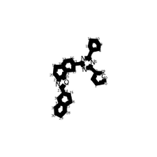 c1ccc(-c2nc(-c3ccccc3)nc(-c3ccc4ccc5nc(-c6ccc7ccccc7c6)oc5c4c3)n2)cc1